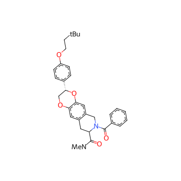 CNC(=O)C1Cc2cc3c(cc2CN1C(=O)c1ccccc1)O[C@@H](c1ccc(OCCC(C)(C)C)cc1)CO3